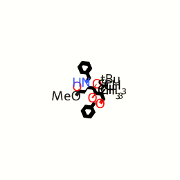 COC(=O)C[C@@H](NCc1ccccc1)[C@H](O[Si](C)(C)C(C)(C)C)[C@@H]1OC(c2ccccc2)OC[C@@H]1C